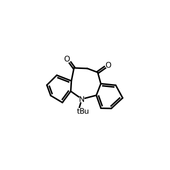 CC(C)(C)N1c2ccccc2C(=O)CC(=O)c2ccccc21